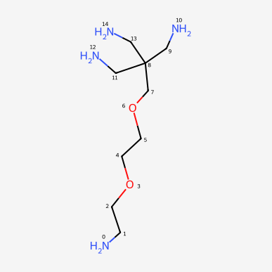 NCCOCCOCC(CN)(CN)CN